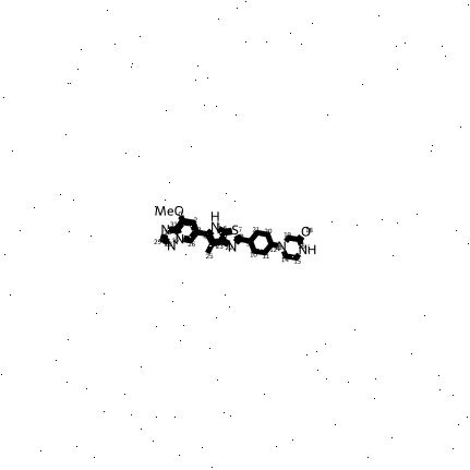 COc1cc(-c2[nH]c3sc(C4CCC(N5CCNC(=O)C5)CC4)nc3c2C)cn2ncnc12